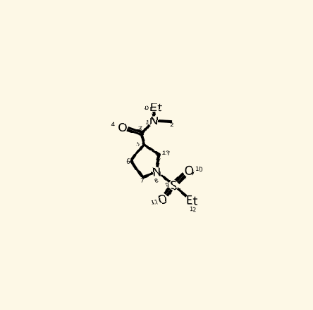 CCN(C)C(=O)C1CCN(S(=O)(=O)CC)C1